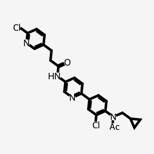 CC(=O)N(CC1CC1)c1ccc(-c2ccc(NC(=O)CCc3ccc(Cl)nc3)cn2)cc1Cl